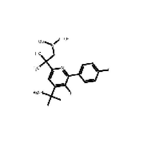 CC(=O)NC(C)(C)c1cc(C(O)(CN(C(=O)O)C(C)(C)C)C(F)(F)F)nc(-c2ccc(F)cc2)c1F